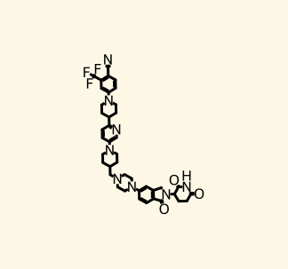 N#Cc1ccc(N2CCC(c3ccc(N4CCC(CN5CCN(c6ccc7c(c6)CN(C6CCC(=O)NC6=O)C7=O)CC5)CC4)cn3)CC2)cc1C(F)(F)F